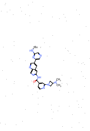 CN(C)C1CN(c2cc(C(=O)Nc3cc4cc(-c5cncc(NC(C)(C)C)n5)cnc4cn3)ccn2)C1